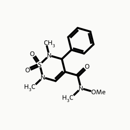 CON(C)C(=O)C1=CN(C)S(=O)(=O)N(C)C1c1ccccc1